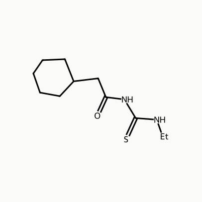 CCNC(=S)NC(=O)CC1CCCCC1